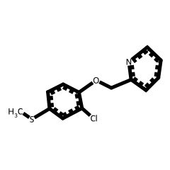 CSc1ccc(OCc2ccccn2)c(Cl)c1